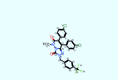 Cn1c(=O)c(-c2ccc(Cl)cc2)c(-c2ccc(Cl)cc2)c2nn(Cc3ccc(C(F)(F)F)cc3)c(=O)n21